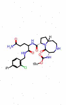 CC(C)c1ccc(CNC(=O)C(CCC(N)=O)NC(=O)[C@@H]2CC[C@@H]3CCNC[C@H](NC(=O)OC(C)(C)C)C(=O)N32)c(Cl)c1